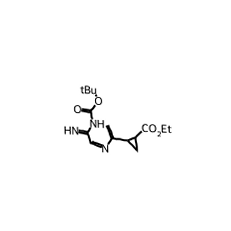 C=C(/N=C\C(=N)NC(=O)OC(C)(C)C)C1CC1C(=O)OCC